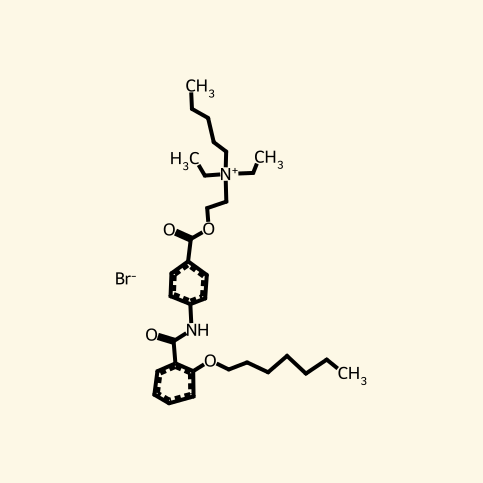 CCCCCCCOc1ccccc1C(=O)Nc1ccc(C(=O)OCC[N+](CC)(CC)CCCCC)cc1.[Br-]